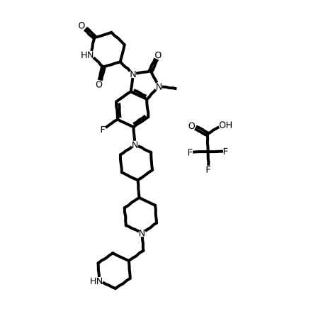 Cn1c(=O)n(C2CCC(=O)NC2=O)c2cc(F)c(N3CCC(C4CCN(CC5CCNCC5)CC4)CC3)cc21.O=C(O)C(F)(F)F